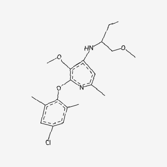 CCC(COC)Nc1cc(C)nc(Oc2c(C)cc(Cl)cc2C)c1OC